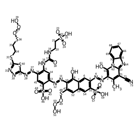 Cc1c(N=Nc2cc3c(O)c(N=Nc4cc(NC(=O)NCCS(=O)(=O)O)c(N=Nc5nnc(SCCSOOO)s5)cc4S(=O)(=O)O)c(SOOO)cc3cc2S(=O)(=O)O)c(O)n2c(nc3ccccc32)c1C#N